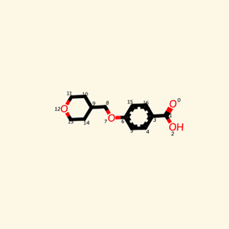 O=C(O)c1ccc(OCC2CCOCC2)cc1